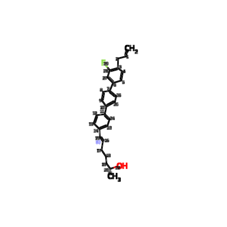 C=CCc1ccc(-c2ccc(-c3ccc(/C=C/CCCC(C)O)cc3)cc2)cc1F